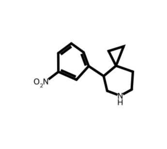 O=[N+]([O-])c1cccc(C2CNCCC23CC3)c1